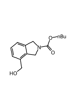 CCCCOC(=O)N1Cc2cccc(CO)c2C1